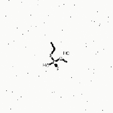 CCSP(O)(=S)OC.Cl